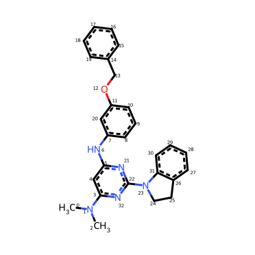 CN(C)c1cc(Nc2cccc(OCc3ccccc3)c2)nc(N2CCc3ccccc32)n1